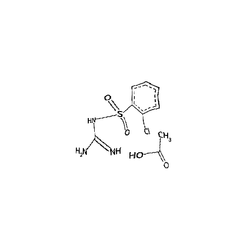 CC(=O)O.N=C(N)NS(=O)(=O)c1ccccc1Cl